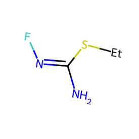 CCS/C(N)=N\F